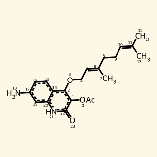 CC(=O)Oc1c(OC/C=C(\C)CCC=C(C)C)c2ccc(N)cc2[nH]c1=O